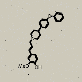 COc1cc(C=CCN2CCC(c3ccc(Oc4ccccc4)cc3)CC2)ccc1O